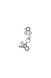 Cc1cccc2c1OCC(CN1CCC(n3c(=O)[nH]c4ccccc43)CC1)O2